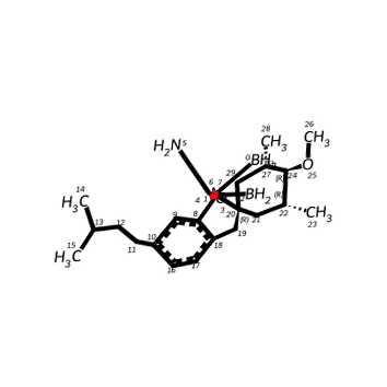 BC1(B)OC(N)=NC12c1cc(CCC(C)C)ccc1C[C@@]21C[C@@H](C)[C@H](OC)[C@@H](C)C1